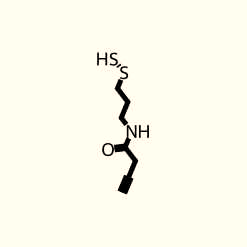 C#CCC(=O)NCCCSS